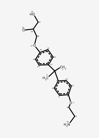 CC(C)(c1ccc(OCCN)cc1)c1ccc(OCC(Cl)CO)cc1